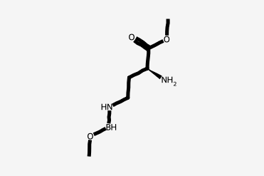 COBNCC[C@H](N)C(=O)OC